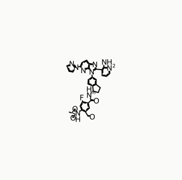 CS(=O)(=O)Nc1cc(F)c(C(=O)N[C@H]2CCc3cc(-n4c(-c5cccnc5N)nc5ccc(-n6cccn6)nc54)ccc32)cc1C=O